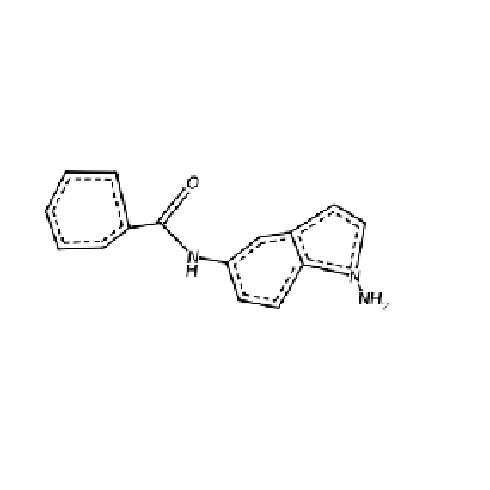 Nn1ccc2cc(NC(=O)c3ccccc3)ccc21